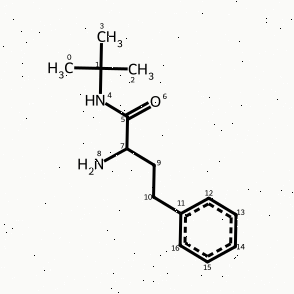 CC(C)(C)NC(=O)C(N)CCc1ccccc1